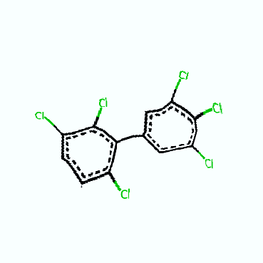 Clc1[c]cc(Cl)c(Cl)c1-c1cc(Cl)c(Cl)c(Cl)c1